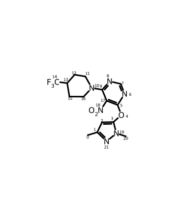 Cc1cc(Oc2ncnc(N3CCC(C(F)(F)F)CC3)c2[N+](=O)[O-])n(C)n1